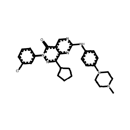 CN1CCN(c2ccc(Nc3ncc4c(=O)n(-c5cccc(Cl)c5)nc(C5CCCC5)c4n3)cc2)CC1